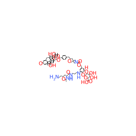 CC(=O)N[C@@H](CCCCN)C(=O)NCCCNc1cc(COC(=O)N2CC3(COC(Cc4ccc([C@@H]5O[C@@H]6C[C@H]7[C@@H]8CCC9=CC(=O)C=C[C@]9(C)[C@H]8[C@@H](O)C[C@]7(C)[C@]6(C(=O)CO)O5)cc4)C3)C2)ccc1O[C@@H]1O[C@H](C(=O)O)[C@@H](O)[C@H](O)[C@H]1O